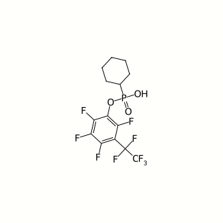 O=P(O)(Oc1c(F)c(F)c(F)c(C(F)(F)C(F)(F)F)c1F)C1CCCCC1